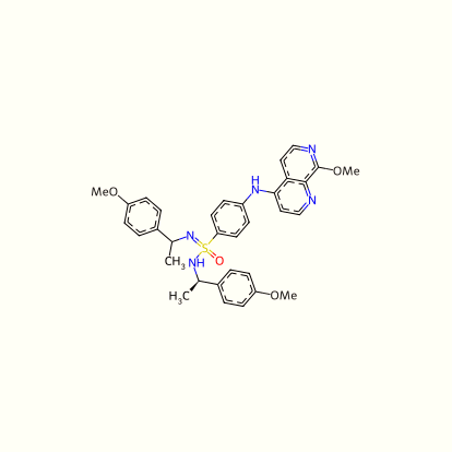 COc1ccc(C(C)N=S(=O)(N[C@H](C)c2ccc(OC)cc2)c2ccc(Nc3ccnc4c(OC)nccc34)cc2)cc1